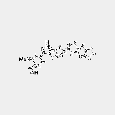 CNc1cc(-c2n[nH]c3c2Cc2sc(-c4ccc(CN5CCCC5=O)cc4)cc2-3)ccc1C=N